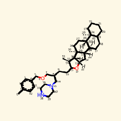 Cc1ccc(COCC(CCC2O[C@H]3C[C@H]4[C@@H]5CCC6CCCC[C@]6(C)[C@H]5CC[C@]4(C)[C@H]3[C@@H]2C)CN2CCNCC2)cc1